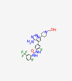 Nc1ncnn2c(C3CCN(CCO)CC3)cc(-c3ccc(NC(=O)Nc4cc(C(F)(F)F)ccc4F)c(F)c3)c12